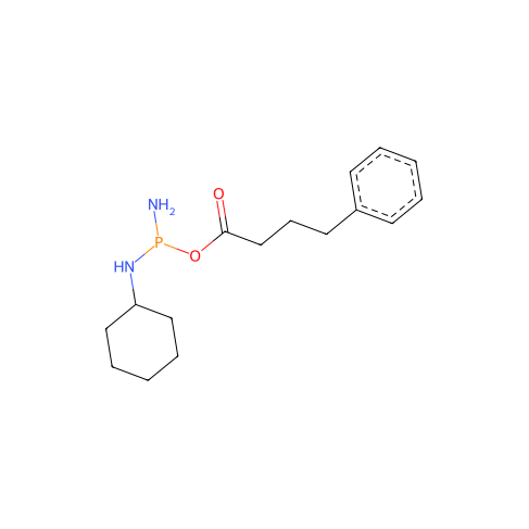 NP(NC1CCCCC1)OC(=O)CCCc1ccccc1